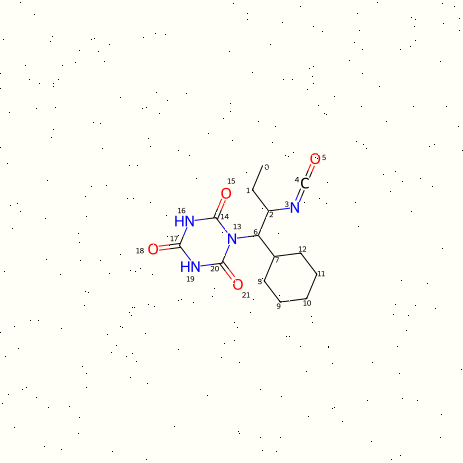 CCC(N=C=O)C(C1CCCCC1)n1c(=O)[nH]c(=O)[nH]c1=O